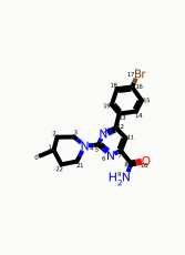 CC1CCN(c2nc(C(N)=O)cc(-c3ccc(Br)cc3)n2)CC1